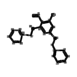 O=Cc1c(Cl)cc(OCc2ccccc2)cc1OCc1ccccc1